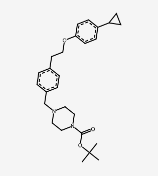 CC(C)(C)OC(=O)N1CCN(Cc2ccc(CCOc3ccc(C4CC4)cc3)cc2)CC1